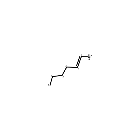 C[CH]CCC=CBr